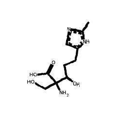 Cc1ncc(CCC(O)C(N)(CO)C(=O)O)[nH]1